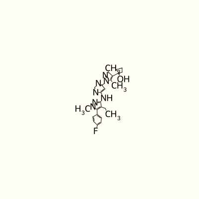 CCc1c(Nc2cc(-n3nc(C)c(C4(O)CCC4)c3C)ncn2)nn(C)c1-c1ccc(F)cc1